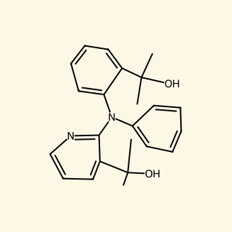 CC(C)(O)c1ccccc1N(c1ccccc1)c1ncccc1C(C)(C)O